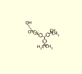 CN(C)c1ccc(C(=C2C=CC(=[N+](C)C)C=C2)c2ccc(N3CCN(C(=O)CCCCO)CC3)cc2)cc1